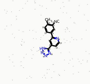 [C-]#[N+]c1cc(-c2cc(-c3nnn[nH]3)ccn2)ccc1C